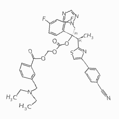 CCN(CC)Cc1cccc(C(=O)OCOC(=O)O[C@@](Cn2cncn2)(c2ccc(F)cc2F)[C@@H](C)c2nc(-c3ccc(C#N)cc3)cs2)c1